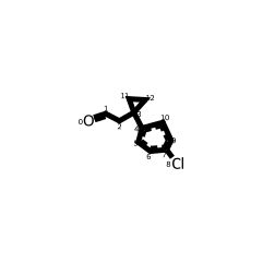 O=CCC1(c2ccc(Cl)cc2)CC1